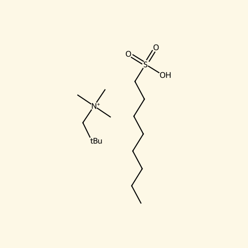 CC(C)(C)C[N+](C)(C)C.CCCCCCCCS(=O)(=O)O